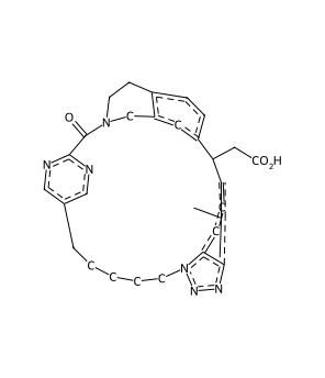 Cc1c2ccc3c1nnn3CCCCCc1cnc(nc1)C(=O)N1CCc3ccc(cc3C1)C2CC(=O)O